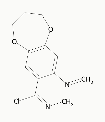 C=Nc1cc2c(cc1/C(Cl)=N\C)OCCCO2